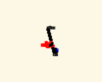 CCCCCCCCCCCCCCCCCCOCC(COP(=O)(O)O)OCc1cncc(C#N)c1